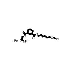 CCCCCC(CCC)COC(=O)C1CCCC(C(=O)OCCCCCCCCC(C)C)C1